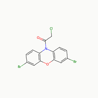 O=C(CCl)N1c2ccc(Br)cc2Oc2cc(Br)ccc21